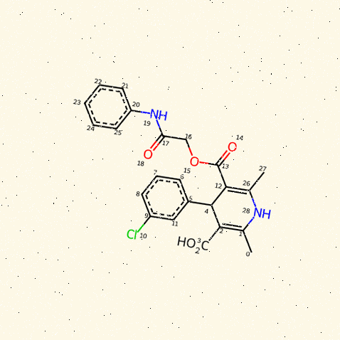 CC1=C(C(=O)O)C(c2cccc(Cl)c2)C(C(=O)OCC(=O)Nc2ccccc2)=C(C)N1